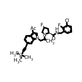 C=C(Cn1cc(C(C)=O)c2ccc(C#C[Si](C)(C)C)cc21)N1C[C@H](F)C[C@H]1C(=O)NCc1cccc(Cl)c1F